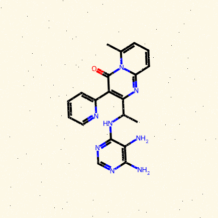 Cc1cccc2nc(C(C)Nc3ncnc(N)c3N)c(-c3ccccn3)c(=O)n12